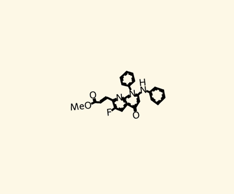 COC(=O)/C=C/c1nc2c(cc1F)c(=O)cc(Nc1ccccc1)n2-c1ccccc1